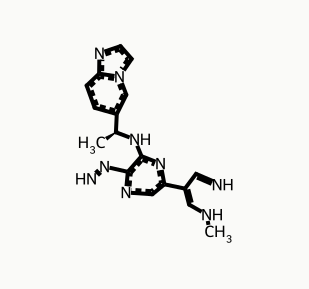 CN/C=C(\C=N)c1cnc(N=N)c(N[C@@H](C)c2ccc3nccn3c2)n1